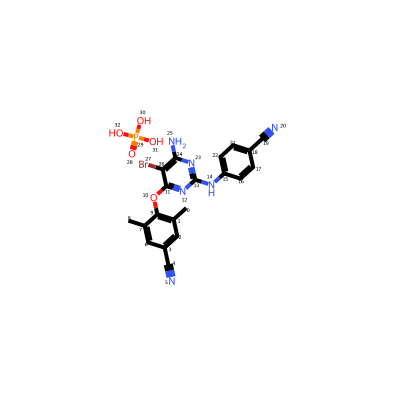 Cc1cc(C#N)cc(C)c1Oc1nc(Nc2ccc(C#N)cc2)nc(N)c1Br.O=P(O)(O)O